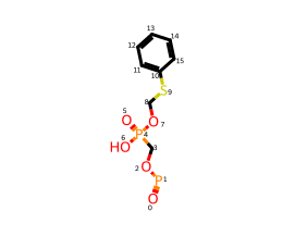 O=POCP(=O)(O)OCSc1ccccc1